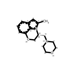 Cc1cc2cccc3c2n1[C@H](CN1CCOCC1)[C]O3